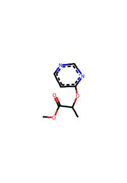 COC(=O)C(C)Oc1ccn[c]n1